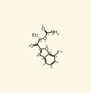 CC[C@H](OC(N)=O)C(=O)c1nc2cccc(F)c2o1